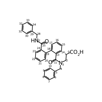 O=C(O)CCN(Cc1ccccc1)C(=O)c1ccccc1-c1ccccc1C(=O)NCc1ccccc1